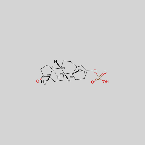 C[C@]12CCC(OS(=O)(=O)O)CC1CC[C@@H]1[C@H]2CC[C@]2(C)C(=O)CC[C@@H]12